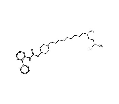 CN(C)CCN(C)CCCCCCCCCN1CCC(OC(=O)Nc2ccccc2-c2ccccc2)CC1